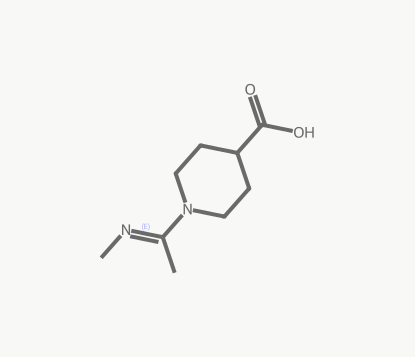 C/N=C(\C)N1CCC(C(=O)O)CC1